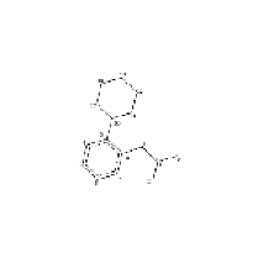 C[C](C)Cc1ccccc1C1CCCCC1